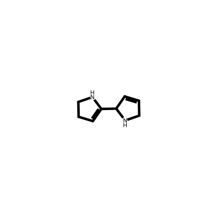 C1=CC(C2=CCCN2)NC1